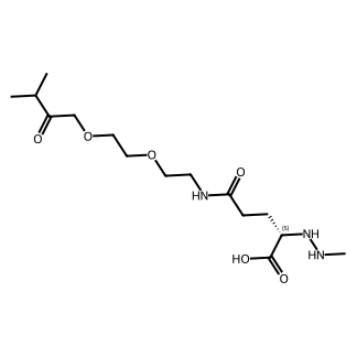 CNN[C@@H](CCC(=O)NCCOCCOCC(=O)C(C)C)C(=O)O